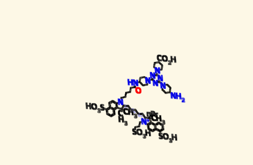 CCCC1(C)C(/C=C/C=C/C=C2/N(CCCCCC(=O)NC3CCN(c4nc(N5CCC(N)CC5)nc(N5CCC(C(=O)O)CC5)n4)CC3)c3ccc4c(S(=O)(=O)O)cccc4c3C2(C)C)=[N+](CCCS(=O)(=O)O)c2ccc3c(S(=O)(=O)O)cccc3c21